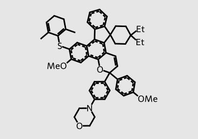 CCC1(CC)CCC2(CC1)c1ccccc1-c1c2c2c(c3cc(OC)c(SC4=C(C)CCC=C4C)cc13)OC(c1ccc(OC)cc1)(c1ccc(N3CCOCC3)cc1)C=C2